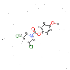 COc1ccc(OC(=O)N(CCCl)CCCl)cc1